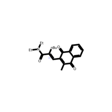 CCCC/C(=C\C1=C(C)C(=O)c2ccccc2C1=O)C(=O)N(CC)CC